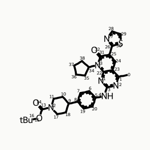 Cc1nc(Nc2ccc(C3CCN(C(=O)OC(C)(C)C)CC3)cc2)nc2c1cc(-c1nccs1)c(=O)n2C1CCCC1